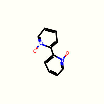 [O-][n+]1ccccc1-c1cccc[n+]1[O-]